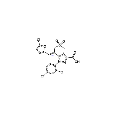 O=C(O)c1nn(-c2ccc(Cl)cc2Cl)c2c1CS(=O)(=O)C/C2=C\c1ccc(Cl)o1